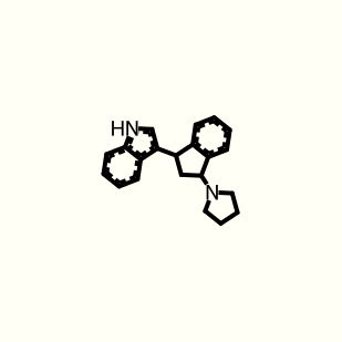 c1ccc2c(c1)C(c1c[nH]c3ccccc13)CC2N1CCCC1